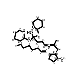 CCCCCCC=C[C@H]1CC[C@H](O)[C@@H]1CC(C)=C=CCCC(O)(OC1CCCCO1)OC1CCCCO1